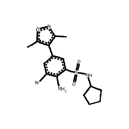 Cc1noc(C)c1-c1cc(Br)c(N)c(S(=O)(=O)NC2CCCC2)c1